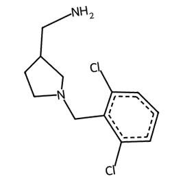 NCC1CCN(Cc2c(Cl)cccc2Cl)C1